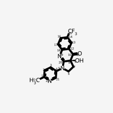 Cc1ccc(N2CC[C@@]3(O)C(=O)c4cc(C(F)(F)F)ccc4N=C23)cn1